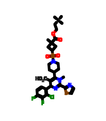 CN1C(c2nccs2)=NC(c2ccc(F)c(F)c2Cl)C(C(=O)O)=C1C1CCN(S(=O)(=O)C2CC(C)(C(=O)OCC[Si](C)(C)C)C2)CC1